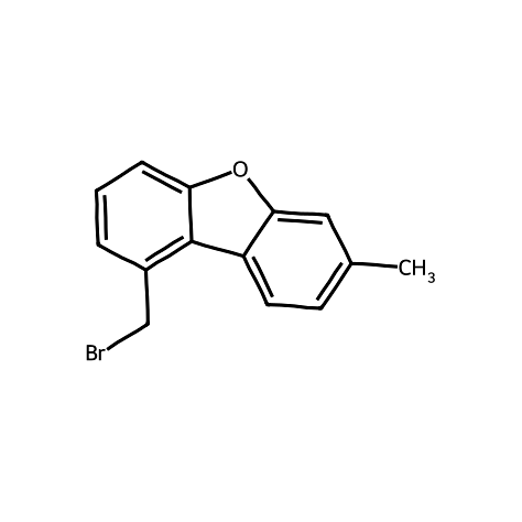 Cc1ccc2c(c1)oc1cccc(CBr)c12